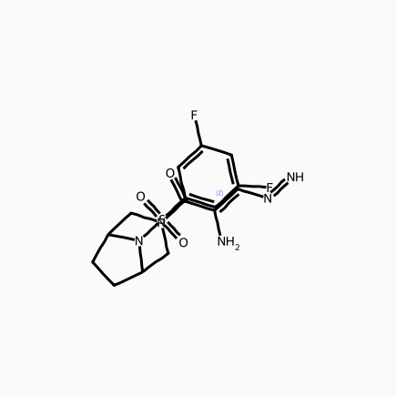 N=N/C=C(\N)C(=O)N1CC2CCC(C1)N2S(=O)(=O)c1cc(F)cc(F)c1